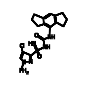 N=S(=O)(NC(=O)Nc1c2c(cc3c1CCC3)CCC2)c1nn(P)cc1Cl